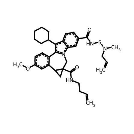 C=CCCNC(=O)C12CC1c1cc(OC)ccc1-c1c(C3CCCCC3)c3ccc(C(=O)NSN(C)CC=C)cc3n1C2